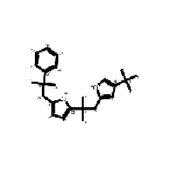 CC(C)(C)c1coc(CC(C)(C)c2ccc(CC(C)(C)c3ccccc3)o2)c1